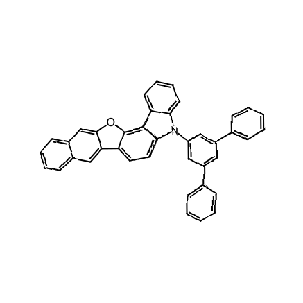 c1ccc(-c2cc(-c3ccccc3)cc(-n3c4ccccc4c4c5oc6cc7ccccc7cc6c5ccc43)c2)cc1